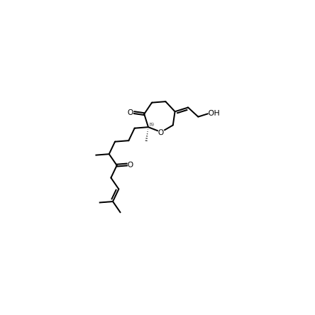 CC(C)=CCC(=O)C(C)CCC[C@]1(C)OCC(=CCO)CCC1=O